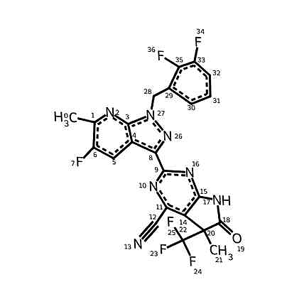 Cc1nc2c(cc1F)c(-c1nc(C#N)c3c(n1)NC(=O)C3(C)C(F)(F)F)nn2Cc1cccc(F)c1F